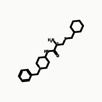 N[C@@H](CSCC1CCCCC1)C(=O)NC1CCN(Cc2ccccc2)CC1